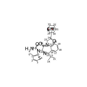 Cc1ccsc1N(C(N)=O)C1N=C(C(C)C)c2ccccc2N(CC(=O)N2CC3CCC(CC3)C2)C1=O